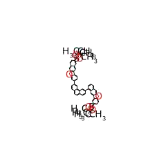 CC1(C)OB(c2ccc3cc4oc5cc(-c6ccc7ccc8ccc(-c9cccc%10cc%11oc%12ccc(B%13OC(C)(C)C(C)(C)O%13)cc%12c%11cc9%10)cc8c7c6)ccc5c4cc3c2)OC1(C)C